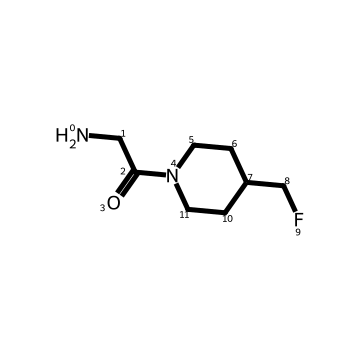 NCC(=O)N1CCC(CF)CC1